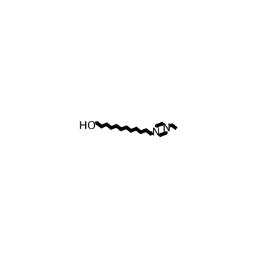 CCN1CCN(CCCCCCCCCCCCO)CC1